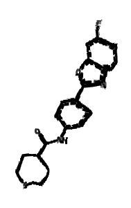 O=C(Nc1ccc(-c2nc3ccc(F)cc3o2)cc1)C1CCSCC1